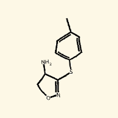 Cc1ccc(SC2=NOCC2N)cc1